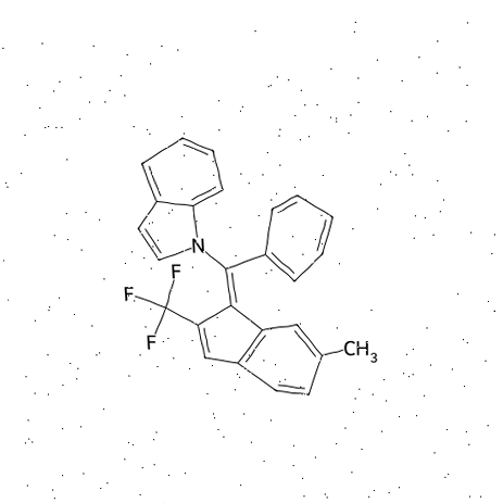 Cc1ccc2c(c1)/C(=C(\c1ccccc1)n1ccc3ccccc31)C(C(F)(F)F)=C2